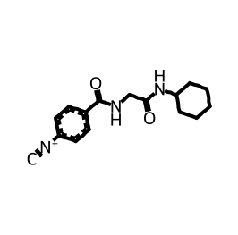 [C-]#[N+]c1ccc(C(=O)NCC(=O)NC2CCCCC2)cc1